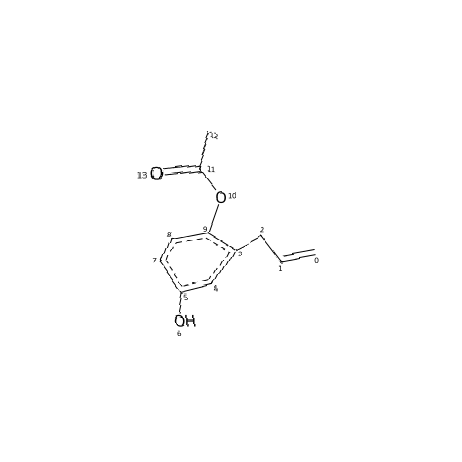 C=CCc1cc(O)ccc1OC(C)=O